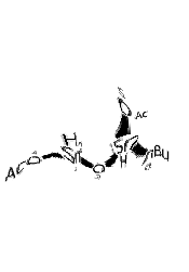 CCC[CH2][SnH]([O][SnH2][O]C(C)=O)[O]C(C)=O